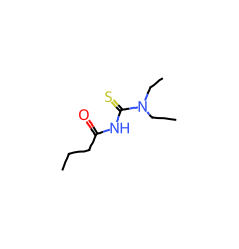 CCCC(=O)NC(=S)N(CC)CC